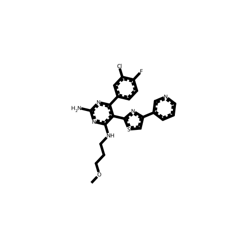 COCCCNc1nc(N)nc(-c2ccc(F)c(Cl)c2)c1-c1nc(-c2cccnc2)cs1